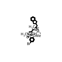 COc1ccc(Br)cc1S(=O)(=O)N(C)C[C@H](O)CNC(C)(C)CC1Cc2ccccc2C1